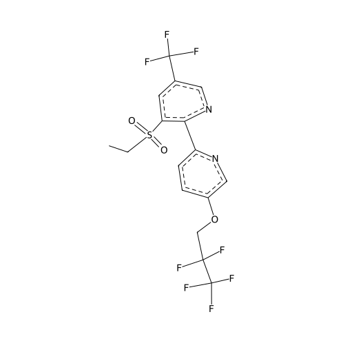 CCS(=O)(=O)c1cc(C(F)(F)F)cnc1-c1ccc(OCC(F)(F)C(F)(F)F)cn1